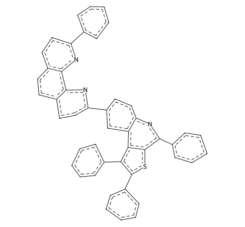 c1ccc(-c2ccc3ccc4ccc(-c5ccc6nc(-c7ccccc7)c7sc(-c8ccccc8)c(-c8ccccc8)c7c6c5)nc4c3n2)cc1